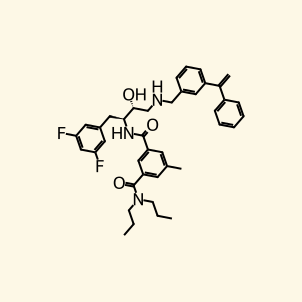 C=C(c1ccccc1)c1cccc(CNC[C@@H](O)[C@H](Cc2cc(F)cc(F)c2)NC(=O)c2cc(C)cc(C(=O)N(CCC)CCC)c2)c1